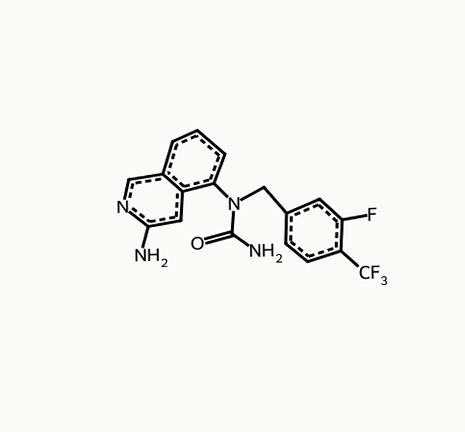 NC(=O)N(Cc1ccc(C(F)(F)F)c(F)c1)c1cccc2cnc(N)cc12